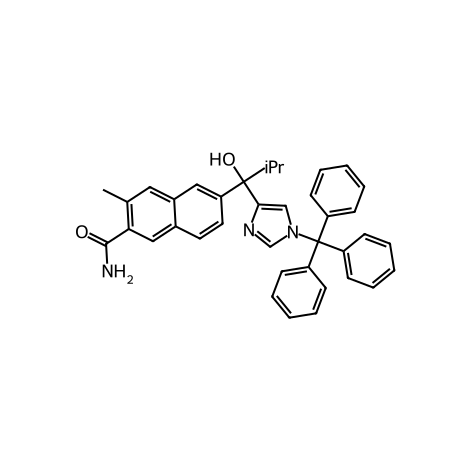 Cc1cc2cc(C(O)(c3cn(C(c4ccccc4)(c4ccccc4)c4ccccc4)cn3)C(C)C)ccc2cc1C(N)=O